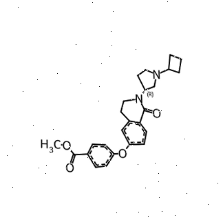 COC(=O)c1ccc(Oc2ccc3c(c2)CCN([C@@H]2CCN(C4CCC4)C2)C3=O)cc1